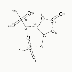 CS(=O)(=O)CC1OS(=O)OC1CS(C)(=O)=O